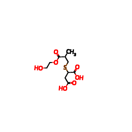 CC(CSC(CC(=O)O)C(=O)O)C(=O)OCCO